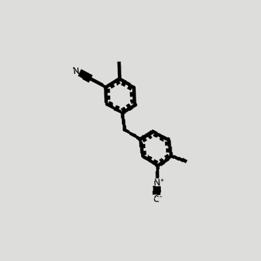 [C-]#[N+]c1cc(Cc2ccc(C)c(C#N)c2)ccc1C